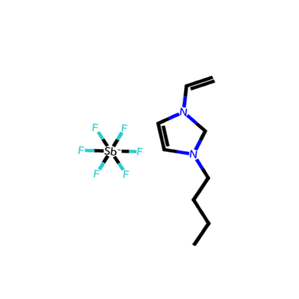 C=CN1C=CN(CCCC)C1.[F][Sb-]([F])([F])([F])([F])[F]